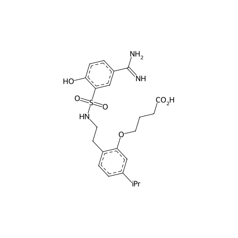 CC(C)c1ccc(CCNS(=O)(=O)c2cc(C(=N)N)ccc2O)c(OCCCC(=O)O)c1